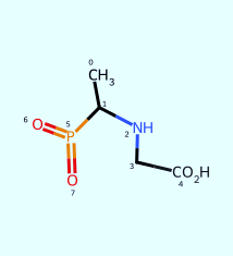 CC(NCC(=O)O)P(=O)=O